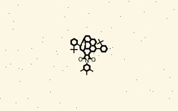 Cc1cc(-n2c(=O)c3c4cc(-c5ccccc5C(C)(C)C)c5ccc6ccc7c(-c8ccccc8C(C)(C)C)cc(c3c2=O)c2c7c6c5c42)cc(C)c1C